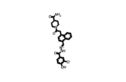 NC(=O)C1CCN(C(=O)Cc2ccc(/C=N/NC(=O)c3ccc(O)c(Cl)c3)c3ccccc23)CC1